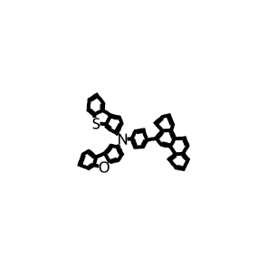 c1ccc2c(c1)ccc1c3ccccc3c(-c3ccc(N(c4ccc5c(c4)sc4ccccc45)c4ccc5oc6ccccc6c5c4)cc3)cc21